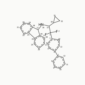 FC(F)(c1ccc(-c2ccccc2)cc1)C(NC1c2ccccc2-c2ccccc21)C1CC1